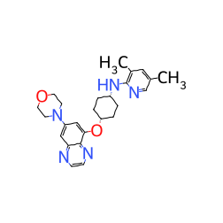 Cc1cnc(N[C@H]2CC[C@@H](Oc3cc(N4CCOCC4)cc4nccnc34)CC2)c(C)c1